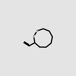 C=CC1CCCCCCSS1